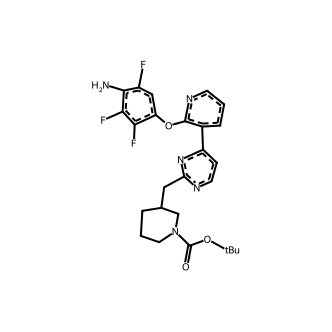 CC(C)(C)OC(=O)N1CCCC(Cc2nccc(-c3cccnc3Oc3cc(F)c(N)c(F)c3F)n2)C1